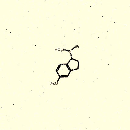 CC(=O)Oc1ccc2c(c1)CCC2N(C(C)C)S(=O)(=O)O